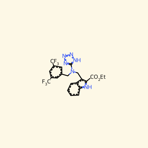 CCOC(=O)c1[nH]c2ccccc2c1CN(Cc1cc(C(F)(F)F)cc(C(F)(F)F)c1)c1nnn[nH]1